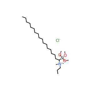 CCCCCCCCCCCCCCCCCC([N+](C)(C)CCC)[Si](OC)(OC)OC.[Cl-]